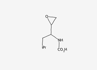 CC(C)CC(NC(=O)O)C1CO1